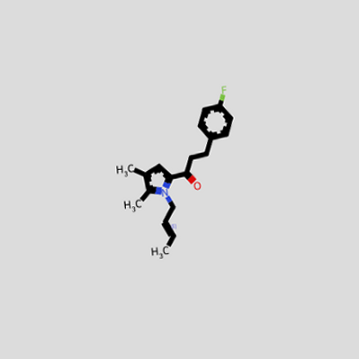 C/C=C/Cn1c(C(=O)CCc2ccc(F)cc2)cc(C)c1C